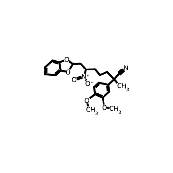 COc1ccc(C(C)(C#N)CCCC(CC2Oc3ccccc3O2)[N+](=O)[O-])cc1OC